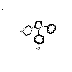 C1=C(N2CCNCC2)N(c2ccccc2)S(c2ccccc2)=C1.Cl